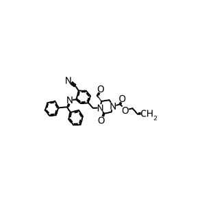 C=CCOC(=O)N1CC(=O)N(Cc2ccc(C#N)c(N=C(c3ccccc3)c3ccccc3)c2)[C@@H](C=O)C1